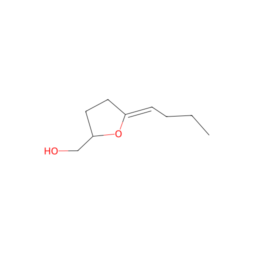 CCCC=C1CCC(CO)O1